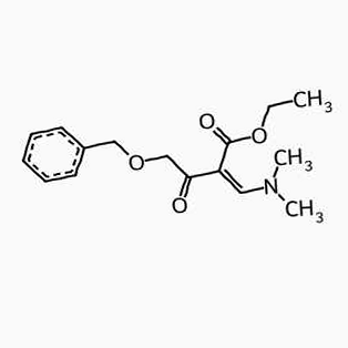 CCOC(=O)/C(=C\N(C)C)C(=O)COCc1ccccc1